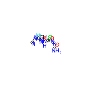 Cn1c(-c2cn(Cc3cccnc3)nc2C(F)(F)F)cnc1C(=O)Nc1ccc(C(=O)N2CCN(C(=O)C3CC(N)C3)CC2)c(Cl)c1